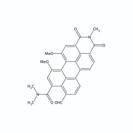 COc1cc(C(=O)N(C)C)c2c(C=O)ccc3c4ccc5c6c(cc(OC)c(c1c23)c64)C(=O)N(C)C5=O